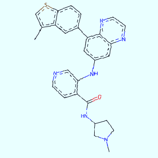 Cc1csc2ccc(-c3cc(Nc4cnccc4C(=O)NC4CCN(C)C4)cc4nccnc34)cc12